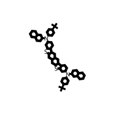 CC(C)(C)c1ccc(N(c2ccc3ccccc3c2)c2ccc3c(c2)sc2cc4cc5sc6cc(N(c7ccc(C(C)(C)C)cc7)c7ccc8ccccc8c7)ccc6c5cc4cc23)cc1